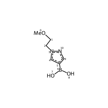 COCCn1cc(B(O)O)cn1